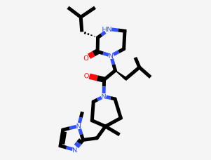 CC(C)C[C@@H]1NCCN([C@@H](CC(C)C)C(=O)N2CCC(C)(Cc3nccn3C)CC2)C1=O